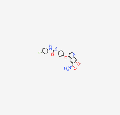 COc1cc2nccc(Oc3ccc(N(C)C(=O)Nc4ccc(F)cc4)cc3)c2cc1C(N)=O